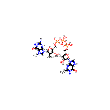 COC1[C@@H](O)[C@@H](COP(=O)(O)OP(=O)(O)OP(=O)(O)OC[C@H]2O[C@@H](n3cnc4c(=O)[nH]c(C)nc43)C(O)[C@H]2OC)O[C@H]1n1c[n+](C)c2c(=O)[nH]c(N)nc21